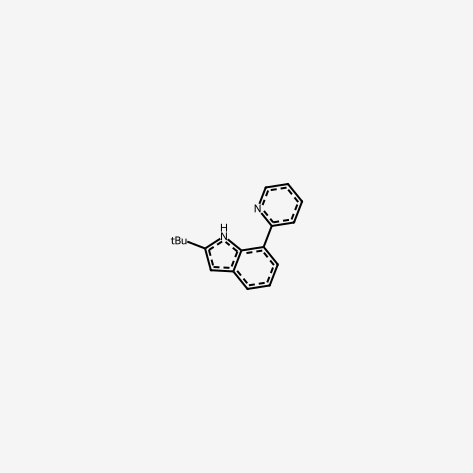 CC(C)(C)c1cc2cccc(-c3ccccn3)c2[nH]1